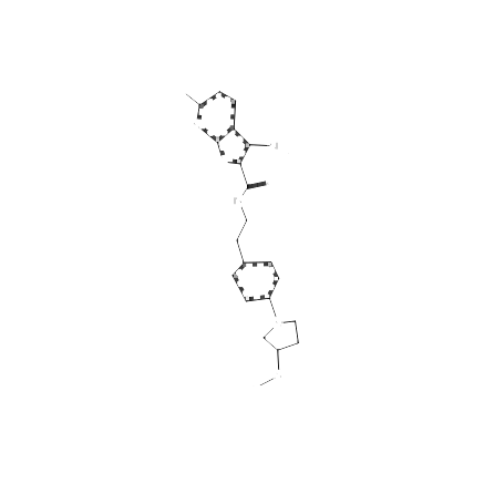 Cc1ccc2c(N)c(C(=O)NCCc3ccc(N4CCC(NC(C)C)C4)cc3)sc2n1